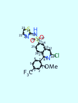 COc1cc(C(F)(F)F)ccc1-c1nc(Cl)cc2cc(S(=O)(=O)Nc3nccs3)ccc12